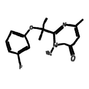 Cc1cc(=O)n(C(C)(C)C)c(C(C)(C)Oc2cccc(F)c2)n1